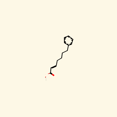 CC(C)(C)OC(=O)/C=C/CCCCc1ccccc1